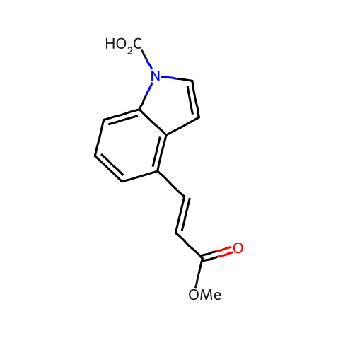 COC(=O)C=Cc1cccc2c1ccn2C(=O)O